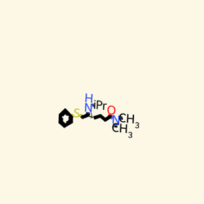 CC(C)N[C@H](CCCC(=O)N(C)C)CSc1ccccc1